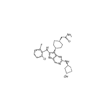 NC(=O)C[C@H]1CC[C@@H](n2c(Nc3c(F)cccc3Cl)nc3cnc(N[C@H]4CC[C@H](O)C4)nc32)CC1